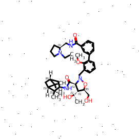 CCN1CCC[C@H]1CNC(=O)c1cccc(-c2cccc(CN3O[C@@H](CO)[C@H]([C@H](C)O)[C@H]3C(=O)NC3C[C@H]4C[C@@H]([C@@H]3C)C4(C)C)c2OC)c1